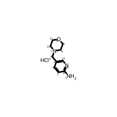 Cl.Nc1ccc(CN2CCOCC2)cn1